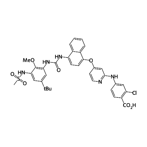 COc1c(NC(=O)Nc2ccc(Oc3ccnc(Nc4ccc(C(=O)O)c(Cl)c4)c3)c3ccccc23)cc(C(C)(C)C)cc1NS(C)(=O)=O